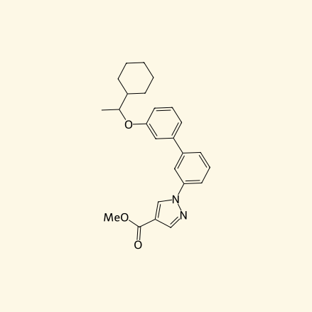 COC(=O)c1cnn(-c2cccc(-c3cccc(OC(C)C4CCCCC4)c3)c2)c1